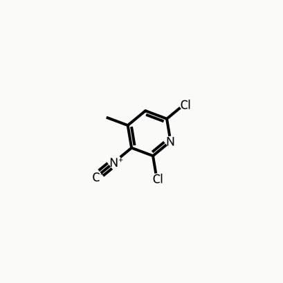 [C-]#[N+]c1c(C)cc(Cl)nc1Cl